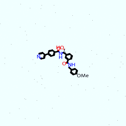 COc1ccc(CNC(=O)c2cccc([C@@H](CO)NC(=O)c3ccc(-c4ccncc4)cc3)c2)cc1